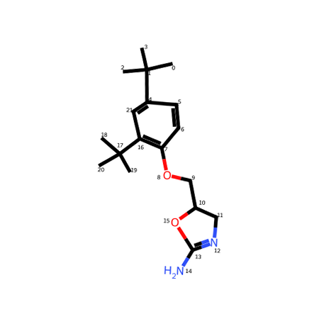 CC(C)(C)c1ccc(OCC2CN=C(N)O2)c(C(C)(C)C)c1